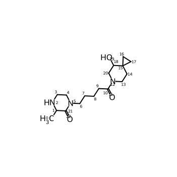 CC1NCCN(CCCCC(=O)N2CCC3(CC3)C(O)C2)C1=O